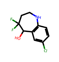 OC1c2cc(Cl)ccc2NCCC1(F)F